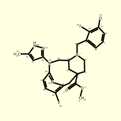 COC(=O)C12CCN(Cc3cccc(Cl)c3F)C(CN(c3cc(C)[nH]n3)c3ccc(F)c(n3)C1)C2